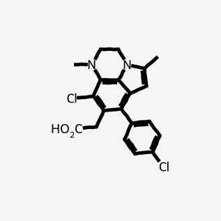 Cc1cc2c(-c3ccc(Cl)cc3)c(CC(=O)O)c(Cl)c3c2n1CCN3C